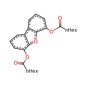 CCCCCCC(=O)Oc1cccc2c1oc1c(OC(=O)CCCCCC)cccc12